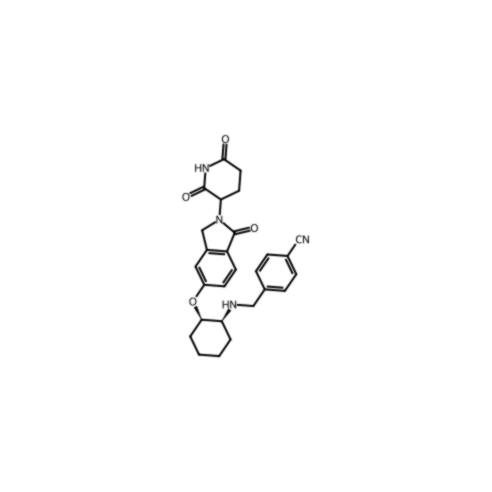 N#Cc1ccc(CN[C@H]2CCCC[C@H]2Oc2ccc3c(c2)CN(C2CCC(=O)NC2=O)C3=O)cc1